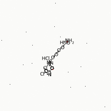 CN1Cc2c(Cl)cc(Cl)cc2[C@H](c2cccc(-c3nnn(CCOCCOCCOCCOCCNC(N)=O)n3)c2)C1.Cl